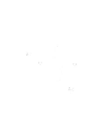 CC(=O)CC(=O)C(C)OC(C)C